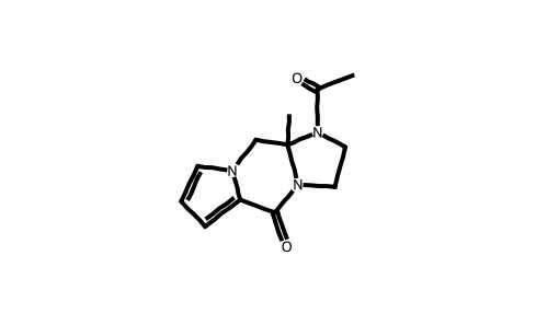 CC(=O)N1CCN2C(=O)c3cccn3CC12C